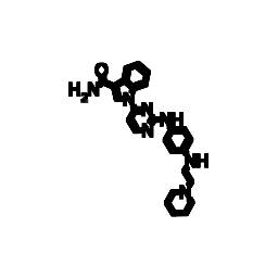 NC(=O)c1cn(-c2ccnc(Nc3ccc(NCCN4CCCCC4)cc3)n2)c2ccccc12